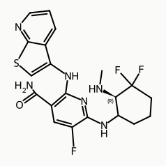 CN[C@@H]1C(Nc2nc(Nc3csc4ncccc34)c(C(N)=O)cc2F)CCCC1(F)F